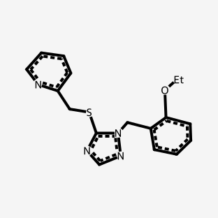 CCOc1ccccc1Cn1ncnc1SCc1ccccn1